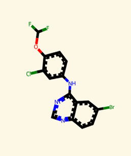 FC(F)Oc1ccc(Nc2ncnc3ccc(Br)cc23)cc1Cl